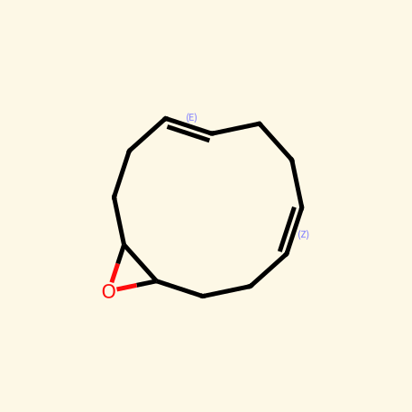 C1=C\CCC2OC2CC/C=C/CC/1